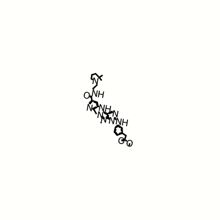 COC(=O)Cc1cccc(Nc2ncc3c(Nc4cc(C(=O)NCCN5CCCC5(C)C)cnc4C)nn(C)c3n2)c1